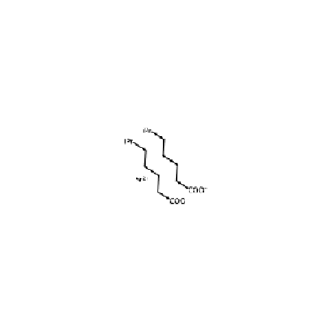 CC(C)CCCCC(=O)[O-].CC(C)CCCCC(=O)[O-].[Sr+2]